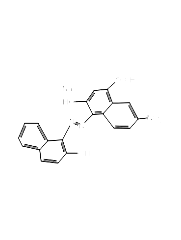 O=[N+]([O-])c1ccc2c(N=Nc3c(O)ccc4ccccc34)c(O)cc(S(=O)(=O)O)c2c1.[Na+]